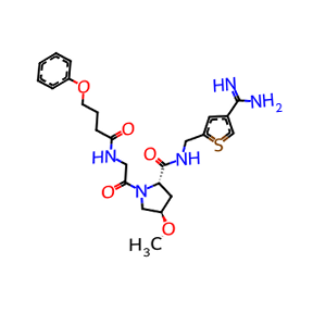 CO[C@@H]1C[C@@H](C(=O)NCc2cc(C(=N)N)cs2)N(C(=O)CNC(=O)CCCOc2ccccc2)C1